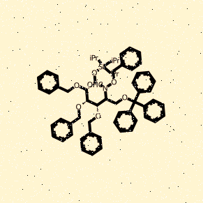 CC(C)[Si](OC[C@@H](OCc1ccccc1)[C@@H](OCc1ccccc1)[C@@H](OCc1ccccc1)C(COC(c1ccccc1)(c1ccccc1)c1ccccc1)N(C=O)OCc1ccccc1)(C(C)C)C(C)C